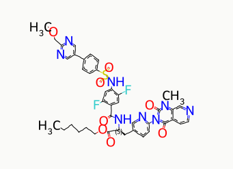 CCCCCCOC(=O)[C@H](Cc1ccc(-n2c(=O)c3ccncc3n(C)c2=O)nc1)NC(=O)c1cc(F)c(NS(=O)(=O)c2ccc(-c3cnc(COC)nc3)cc2)cc1F